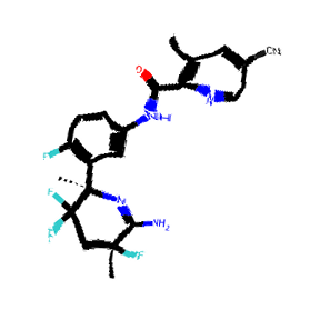 Cc1cc(C#N)cnc1C(=O)Nc1ccc(F)c([C@@]2(C)N=C(N)[C@](C)(F)CC2(F)F)c1